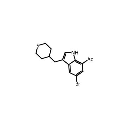 CC(=O)c1cc(Br)cc2c(CC3CCSCC3)c[nH]c12